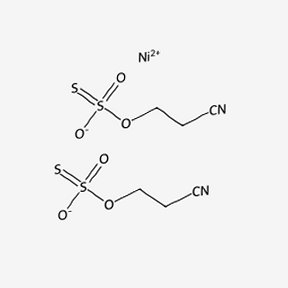 N#CCCOS(=O)([O-])=S.N#CCCOS(=O)([O-])=S.[Ni+2]